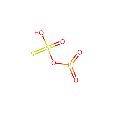 O=P(=O)OS(=O)(O)=S